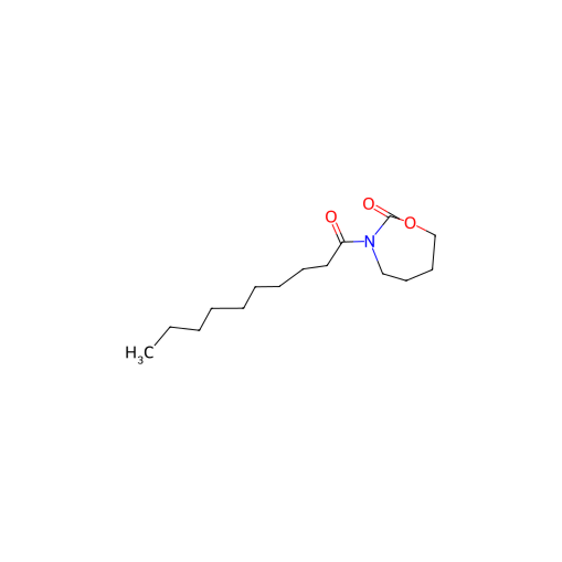 CCCCCCCCCC(=O)N1CCCCOC1=O